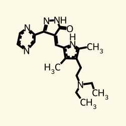 CCN(CC)CCc1c(C)[nH]c(C=C2C(=O)NN=C2c2cnccn2)c1C